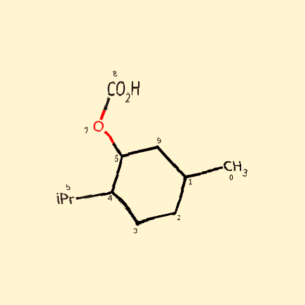 CC1CCC(C(C)C)C(OC(=O)O)C1